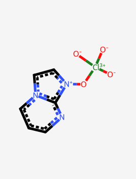 [O-][Cl+3]([O-])([O-])O[n+]1ccn2cccnc21